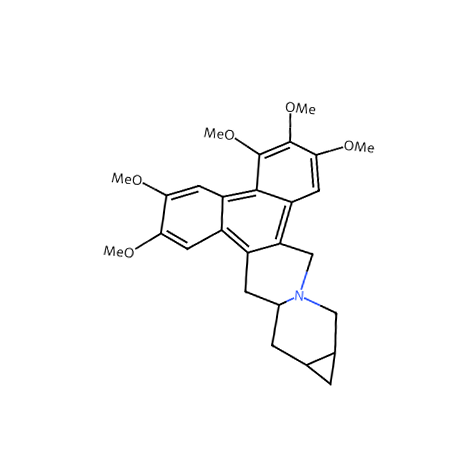 COc1cc2c3c(c4cc(OC)c(OC)c(OC)c4c2cc1OC)CN1CC2CC2CC1C3